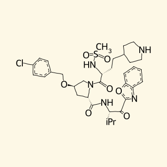 CC(C)[C@H](NC(=O)[C@@H]1C[C@@H](OCc2ccc(Cl)cc2)CN1C(=O)[C@@H](CCC1CCNCC1)NS(C)(=O)=O)C(=O)c1nc2ccccc2o1